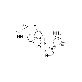 CC(Nc1cnc2c(C(=O)Nc3cnccc3[C@@H]3C[C@H](C)C[C@H](N)C3)ccc(F)c2c1)C1CC1